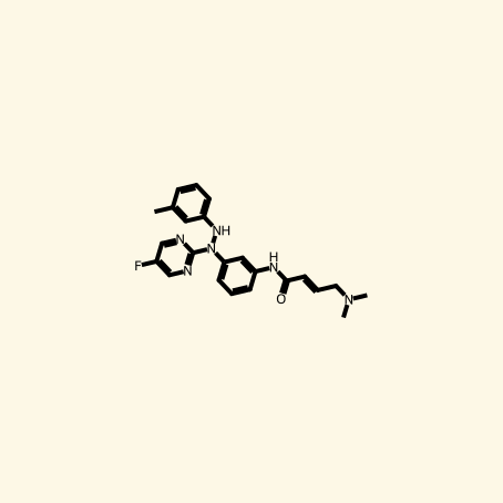 Cc1cccc(NN(c2cccc(NC(=O)C=CCN(C)C)c2)c2ncc(F)cn2)c1